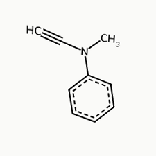 C#CN(C)c1ccccc1